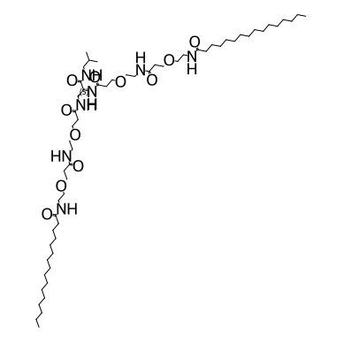 CCCCCCCCCCCCCCCC(=O)NCCOCCC(=O)NCCOCCC(=O)NC[C@H](NC(=O)CCOCCNC(=O)CCOCCNC(=O)CCCCCCCCCCCCCCC)C(=O)NCC(C)C